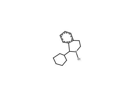 CCN1CCc2ccccc2C1C1CCCCC1